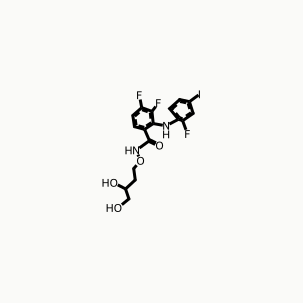 O=C(NOCCC(O)CO)c1ccc(F)c(F)c1Nc1ccc(I)cc1F